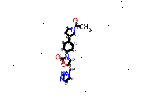 CC(=O)N1CCC(c2ccc(N3C[C@H](Cn4ccnn4)OC3=O)cc2)C1